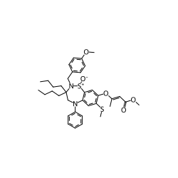 CCCCC1(CCCC)CN(c2ccccc2)c2cc(SC)c(O/C(C)=C/C(=O)OC)cc2[S+]([O-])N1Cc1ccc(OC)cc1